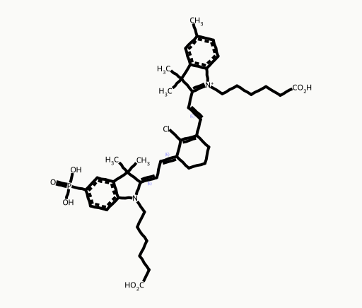 Cc1ccc2c(c1)C(C)(C)C(/C=C/C1=C(Cl)C(=C/C=C3/N(CCCCCC(=O)O)c4ccc(P(=O)(O)O)cc4C3(C)C)/CCC1)=[N+]2CCCCCC(=O)O